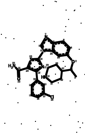 CC(Oc1ccc2ncn(-c3nc(-c4cccc(Cl)c4)c(C(N)=O)s3)c2c1)C1CCNCC1